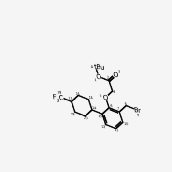 CC(C)(C)OC(=O)COc1c(CBr)cccc1C1CCC(C(F)(F)F)CC1